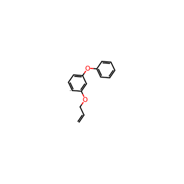 C=CCOc1[c]ccc(Oc2ccccc2)c1